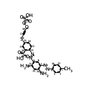 Cc1ccc(N=Nc2cc(N=Nc3ccc(SC#COOS(=O)(=O)O)cc3S(=O)(=O)O)c(N)cc2N)cc1